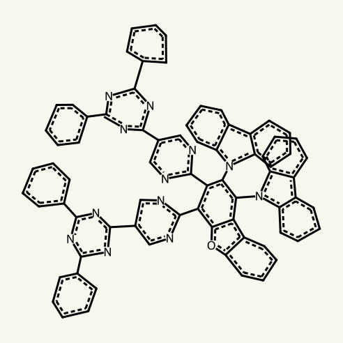 c1ccc(-c2nc(-c3ccccc3)nc(-c3cnc(-c4c(-n5c6ccccc6c6ccccc65)c(-n5c6ccccc6c6ccccc65)c5c(oc6ccccc65)c4-c4ncc(-c5nc(-c6ccccc6)nc(-c6ccccc6)n5)cn4)nc3)n2)cc1